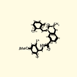 COc1cc(F)c(CNC(=O)c2ccc3c(c2)N(Cc2c(F)cccc2Cl)C(=O)N(C)C3)c(F)c1